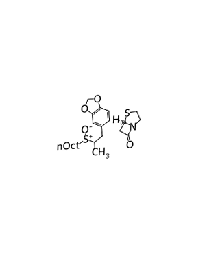 CCCCCCCC[S+]([O-])C(C)Cc1ccc2c(c1)OCO2.O=C1C[C@H]2SCCN12